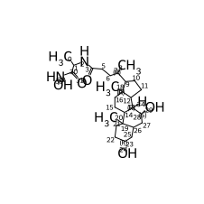 CC(NC(=O)CC[C@@H](C)C1CCC2[C@H]3C(CC[C@@]21C)C1(C)CC[C@@H](O)CC1C[C@@H]3O)C(=O)NO